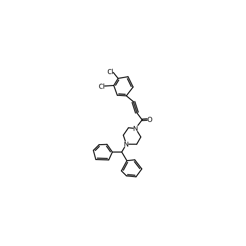 O=C(C#Cc1ccc(Cl)c(Cl)c1)N1CCN(C(c2ccccc2)c2ccccc2)CC1